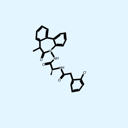 CC1C(=O)N(NC(=O)[C@H](C)NC(=O)Cc2ccccc2Cl)c2ccccc2-c2ccccc21